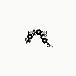 CSc1ccc(C=C2C(=O)Nc3ccc(S(=O)(=O)Nc4ccc(C(F)(F)F)cc4)cc32)cc1